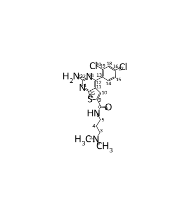 CN(C)CCCNC(=O)c1cc2c(-c3ccc(Cl)cc3Cl)nc(N)nc2s1